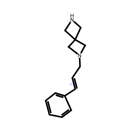 C(=C\c1ccccc1)/CN1CC2(CNC2)C1